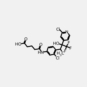 CC(c1ccc(NC(=O)CCCC(=O)O)cc1Cl)C(O)(c1ccnc(Cl)c1)C(F)(F)F